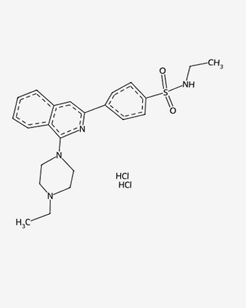 CCNS(=O)(=O)c1ccc(-c2cc3ccccc3c(N3CCN(CC)CC3)n2)cc1.Cl.Cl